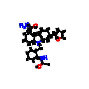 CC(=O)Nc1ccccc1Cn1c2cc(-c3ccco3)c[c]c2c2c(C(N)=O)cccc21